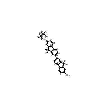 CC(C)(C)c1ccc2c(c1)C(C)(C)c1cc(-c3ccc4c(c3)C(C)(C)c3cc(B5OC(C)(C)C(C)(C)O5)ccc3-4)ccc1-2